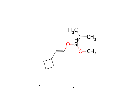 CO[SiH](OC=CC1CCC1)C(C)C